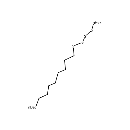 CCCCCCCCCCCCCCCCCCSSSSCCCCCC